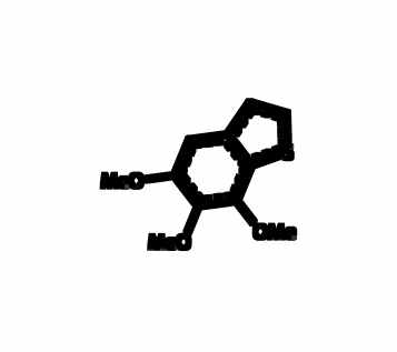 COc1cc2ccsc2c(OC)c1OC